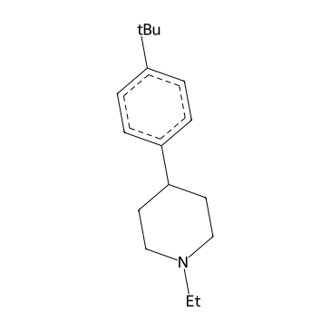 CCN1CCC(c2ccc(C(C)(C)C)cc2)CC1